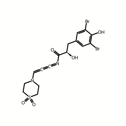 O=C(N=C=C=CN1CCS(=O)(=O)CC1)[C@H](O)Cc1cc(Br)c(O)c(Br)c1